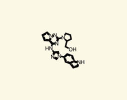 OCC1CCCN1c1nc(Nc2cn(-c3ccc4[nH]ccc4c3)cn2)c2cccn2n1